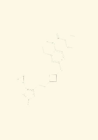 CN1c2nc(NC3CC(COc4cc(C(F)(F)F)nn4C4CC4)C3)nc3c2N(CCC3)C(=O)C1CO